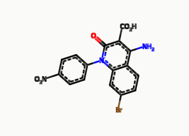 Nc1c(C(=O)O)c(=O)n(-c2ccc([N+](=O)[O-])cc2)c2cc(Br)ccc12